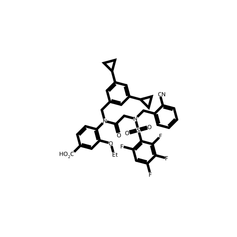 CCOc1cc(C(=O)O)ccc1N(Cc1cc(C2CC2)cc(C2CC2)c1)C(=O)CN(Cc1ccccc1C#N)S(=O)(=O)c1c(F)cc(F)c(F)c1F